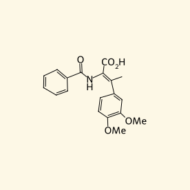 COc1ccc(C(C)=C(NC(=O)c2ccccc2)C(=O)O)cc1OC